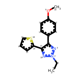 CCn1nc(-c2ccc(OC)cc2)c(-c2cccs2)n1